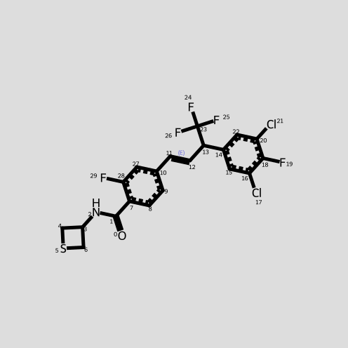 O=C(NC1CSC1)c1ccc(/C=C/C(c2cc(Cl)c(F)c(Cl)c2)C(F)(F)F)cc1F